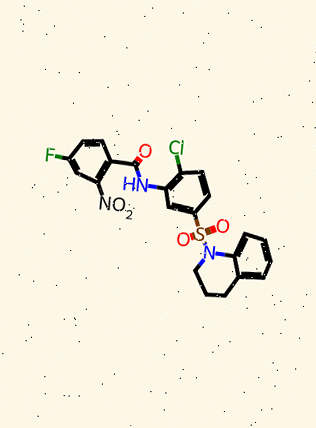 O=C(Nc1cc(S(=O)(=O)N2CCCc3ccccc32)ccc1Cl)c1ccc(F)cc1[N+](=O)[O-]